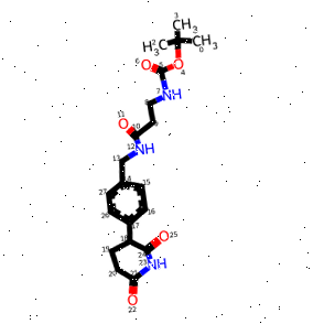 CC(C)(C)OC(=O)NCCC(=O)NCc1ccc(C2CCC(=O)NC2=O)cc1